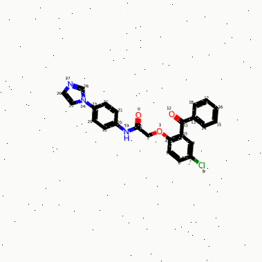 O=C(COc1ccc(Cl)cc1C(=O)c1ccccc1)Nc1ccc(-n2ccnc2)cc1